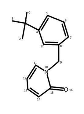 CC(C)(C)c1cccc(Cn2ccccc2=O)c1